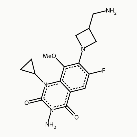 COc1c(N2CC(CN)C2)c(F)cc2c(=O)n(N)c(=O)n(C3CC3)c12